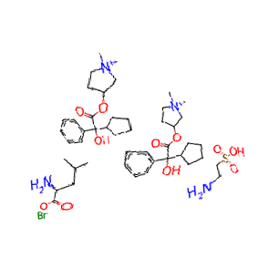 CC(C)C[C@H](N)C(=O)[O-].C[N+]1(C)CCC(OC(=O)C(O)(c2ccccc2)C2CCCC2)C1.C[N+]1(C)CCC(OC(=O)C(O)(c2ccccc2)C2CCCC2)C1.NCCS(=O)(=O)O.[Br-]